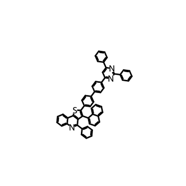 c1ccc(-c2cc(-c3ccc(-c4ccc(-c5sc6c(c(-c7ccccc7)nc7ccccc76)c5-c5cccc6ccccc56)cc4)cc3)nc(-c3ccccc3)n2)cc1